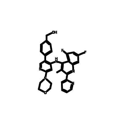 Cc1c(-c2ccccn2)nc2cc(F)cc(F)c2c1Nc1cc(N2CCOCC2)ncc1-c1ccc(CO)cc1